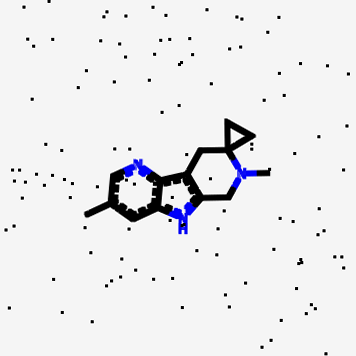 Cc1cnc2c3c([nH]c2c1)CN(C)C1(CC1)C3